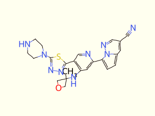 CC1(Nc2cc(-c3ccc4cc(C#N)cnn34)ncc2-c2nnc(N3CCNCC3)s2)COC1